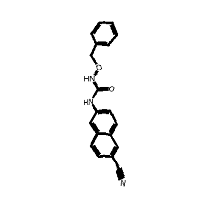 N#Cc1ccc2cc(NC(=O)NOCc3ccccc3)ccc2c1